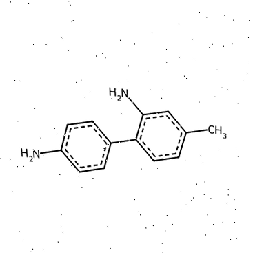 Cc1ccc(-c2ccc(N)cc2)c(N)c1